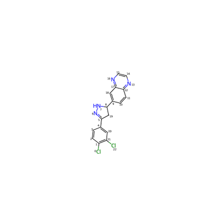 Clc1ccc(C2=NNC(c3ccc4nccnc4c3)C2)cc1Cl